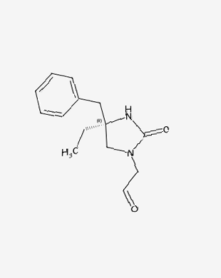 CC[C@@]1(Cc2ccccc2)CN(CC=O)C(=O)N1